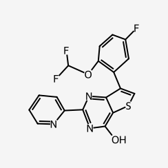 Oc1nc(-c2ccccn2)nc2c(-c3cc(F)ccc3OC(F)F)csc12